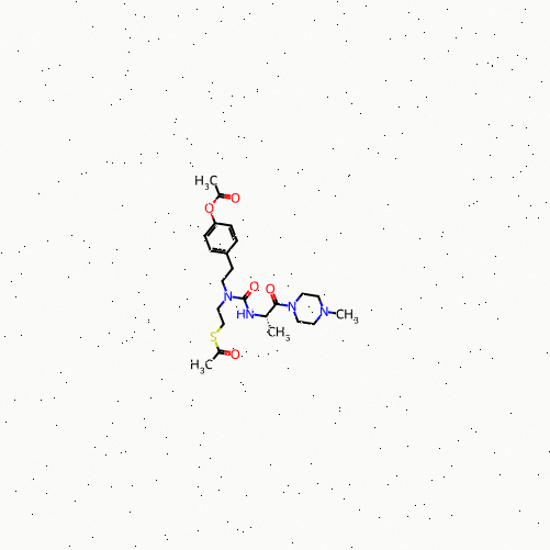 CC(=O)Oc1ccc(CCN(CCSC(C)=O)C(=O)N[C@@H](C)C(=O)N2CCN(C)CC2)cc1